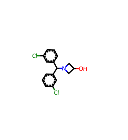 OC1CN(C(c2cccc(Cl)c2)c2cccc(Cl)c2)C1